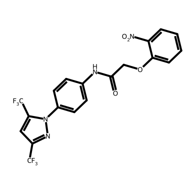 O=C(COc1ccccc1[N+](=O)[O-])Nc1ccc(-n2nc(C(F)(F)F)cc2C(F)(F)F)cc1